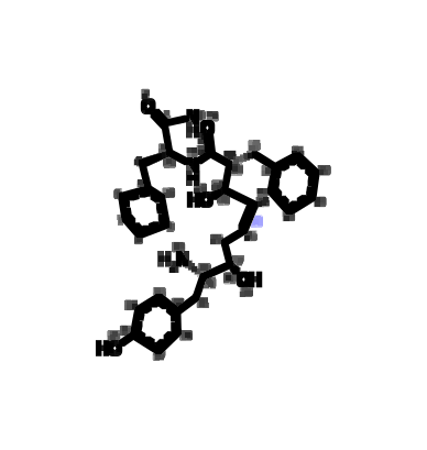 NC(=O)[C@H](Cc1ccccc1)NC(=O)[C@H](Cc1ccccc1)[C@H](O)/C=C\C[C@@H](O)[C@@H](N)Cc1ccc(O)cc1